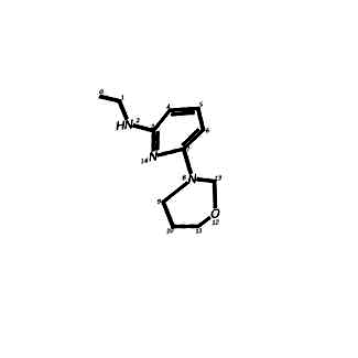 CCNc1cccc(N2CCCOC2)n1